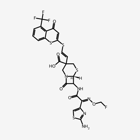 Nc1nc(C(=NOCF)C(=O)NC2C(=O)N3CC(C=CSc4cc(=O)c5c(C(F)(F)F)cccc5s4)(C(=O)O)CS[C@H]23)cs1